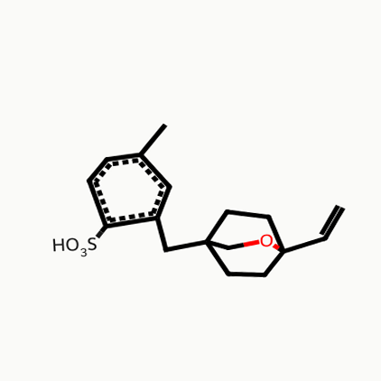 C=CC12CCC(Cc3cc(C)ccc3S(=O)(=O)O)(CC1)CO2